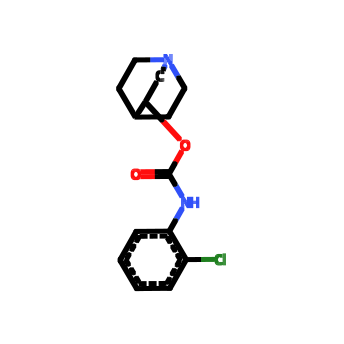 O=C(Nc1ccccc1Cl)OC1CN2CCC1CC2